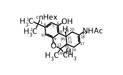 CCCCCCC(C)(C)c1cc(O)c2c(c1)OC(C)(C)[C@@H]1CC=C(NC(C)=O)C[C@@H]21